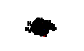 Cc1cc2c3c(c1)N(c1cccc4oc5ccccc5c14)c1cc4c(cc1B3c1oc3cc5c(cc3c1N2c1ccc2c(c1)C(C)(C)CCC2(C)C)C(C)(C)CCC5(C)C)C(C)(C)CCC4(C)C